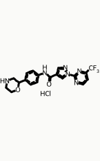 Cl.O=C(Nc1ccc(C2CNCCO2)cc1)c1cnn(-c2nccc(C(F)(F)F)n2)c1